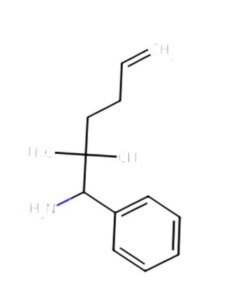 C=CCCC(C)(C)C(N)c1ccccc1